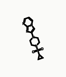 O=S(=O)(C1CC1)N1CCN(c2cn3cccnc3n2)CC1